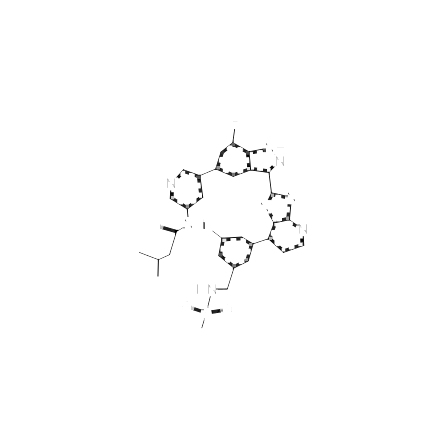 CC(C)CC(=O)Nc1cncc(-c2cc(F)c3[nH]nc(-c4nc5c(-c6cc(F)cc(CNS(C)(=O)=O)c6)ccnc5[nH]4)c3c2)c1